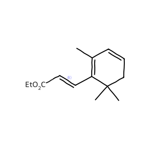 CCOC(=O)/C=C/C1=C(C)C=CCC1(C)C